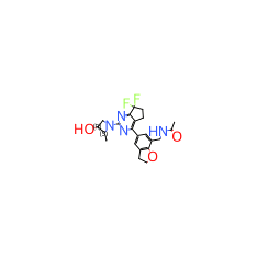 CC(=O)NCc1cc(-c2nc(N3C[C@@H](O)[C@@H]3C)nc3c2CCC3(F)F)cc2c1OCC2